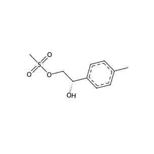 Cc1ccc([C@H](O)COS(C)(=O)=O)cc1